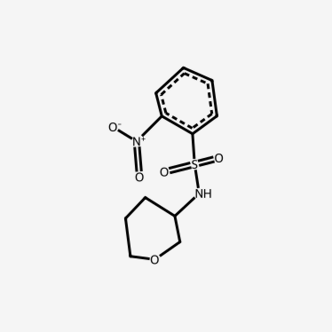 O=[N+]([O-])c1ccccc1S(=O)(=O)NC1CCCOC1